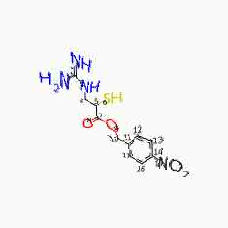 N=C(N)NCC(S)C(=O)OCc1ccc([N+](=O)[O-])cc1